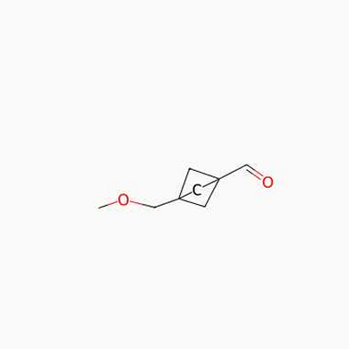 COCC12CC(C=O)(C1)C2